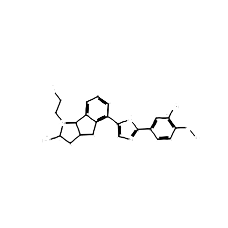 CC(C)Oc1ccc(-c2ncc(-c3cccc4c3CC3CC(O)N(CCO)C43)o2)cc1C#N